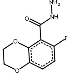 NNC(=O)c1c(F)ccc2c1OCCO2